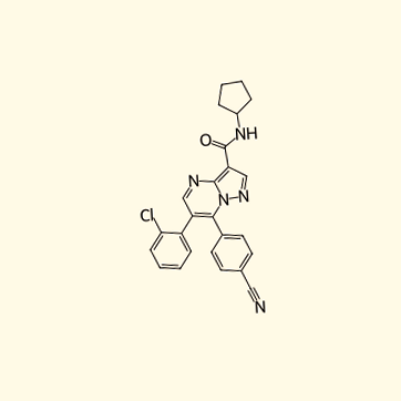 N#Cc1ccc(-c2c(-c3ccccc3Cl)cnc3c(C(=O)NC4CCCC4)cnn23)cc1